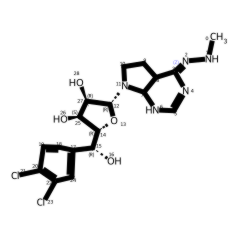 CN/N=C1\N=CNC2C1CCN2[C@@H]1O[C@H]([C@H](O)c2ccc(Cl)c(Cl)c2)[C@@H](O)[C@H]1O